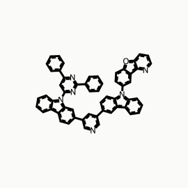 c1ccc(-c2cc(-n3c4ccccc4c4ccc(-c5cncc(-c6ccc7c(c6)c6ccccc6n7-c6ccc7oc8cccnc8c7c6)c5)cc43)nc(-c3ccccc3)n2)cc1